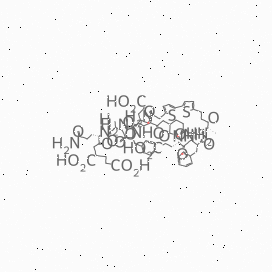 CC(CC(=O)[C@H](Cc1ccccc1)NC(=O)C(CCC(=O)O)CC(=O)Cc1ccc(-c2ccc(CCC(=O)[C@H](C)NC(=O)C(CC(=O)[C@H](CCC(=O)O)NC(=O)C(CCC(N)=O)CC(=O)[C@@H](N)CCC(N)=O)Cc3ccccc3)s2)s1)C(=O)N[C@@H](CCC(N)=O)C(=O)CC(CCC(=O)O)C(=O)O